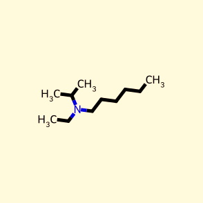 CCCCCCN(CC)C(C)C